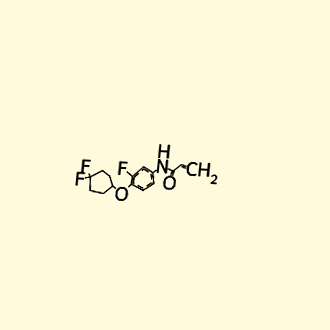 C=CC(=O)Nc1ccc(OC2CCC(F)(F)CC2)c(F)c1